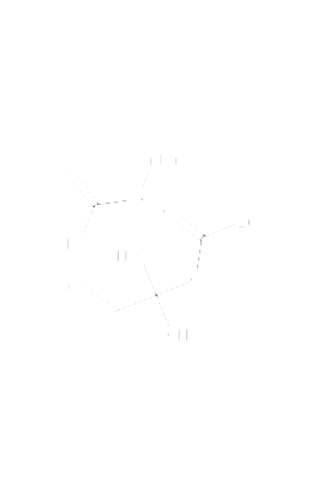 CCC(=O)OC(C)(C)CC(C)C.CCCCOC(=O)CC